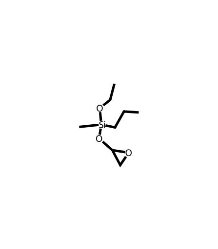 CCC[Si](C)(OCC)OC1CO1